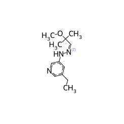 CCc1cncc(N/N=C\C(C)(C)OC)c1